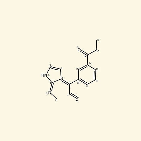 C=C/C(=C1/C=CN/C1=N/C)c1cccc(C(=O)CC)c1